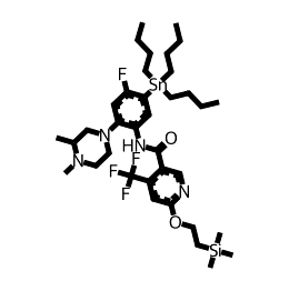 CCC[CH2][Sn]([CH2]CCC)([CH2]CCC)[c]1cc(NC(=O)c2cnc(OCC[Si](C)(C)C)cc2C(F)(F)F)c(N2CCN(C)C(C)C2)cc1F